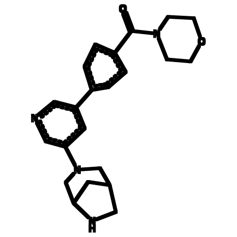 O=C(c1ccc(-c2cncc(N3CC4CNC(C4)C3)c2)cc1)N1CCOCC1